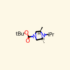 CC(C)N1[C@H](C)CN(C(=O)OC(C)(C)C)C[C@H]1C